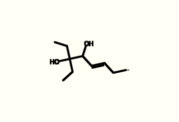 [CH2]CC=CC(O)C(O)(CC)CC